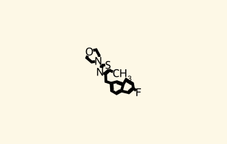 Cc1sc(N2CCOCC2)nc1Cc1ccc2cc(F)ccc2c1